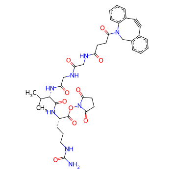 CC(C)[C@H](NC(=O)CNC(=O)CNC(=O)CCC(=O)N1Cc2ccccc2C#Cc2ccccc21)C(=O)N[C@@H](CCCNC(N)=O)C(=O)ON1C(=O)CCC1=O